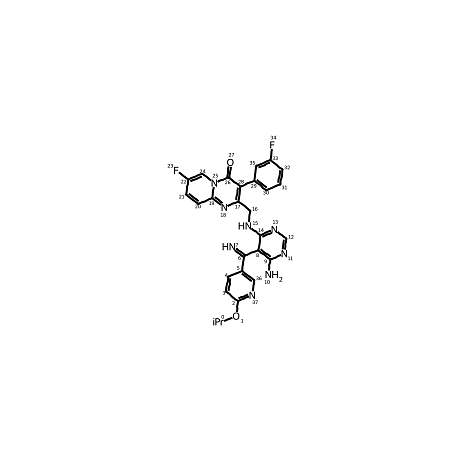 CC(C)Oc1ccc(C(=N)c2c(N)ncnc2NCc2nc3ccc(F)cn3c(=O)c2-c2cccc(F)c2)cn1